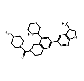 CC1CCN(C(=O)N2CCc3cc(-c4cnc5c(c4)C(C)CN5)cc(C4CCCCN4)c3C2)CC1